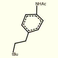 CC(=O)Nc1ccc(CCC(C)(C)C)cc1